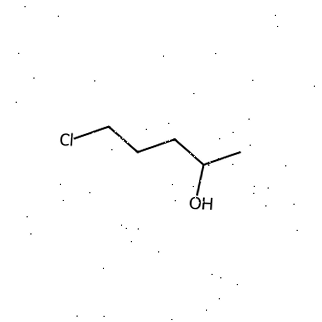 C[C](O)CCCCl